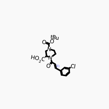 CC(C)(C)OC(=O)N1CCN(C(=O)/C=C/c2cccc(Cl)c2)C(C(=O)O)C1